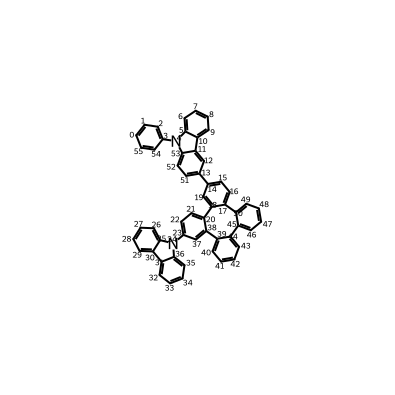 c1ccc(-n2c3ccccc3c3cc(-c4ccc5c(c4)-c4ccc(-n6c7ccccc7c7ccccc76)cc4-c4ccccc4-c4ccccc4-5)ccc32)cc1